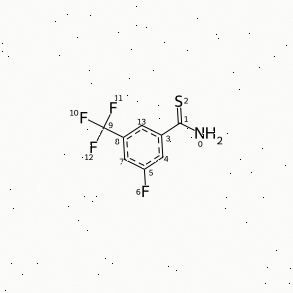 NC(=S)c1cc(F)cc(C(F)(F)F)c1